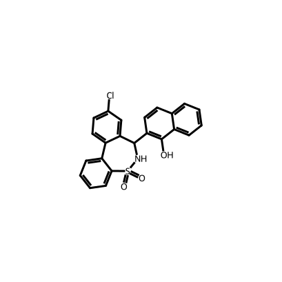 O=S1(=O)NC(c2ccc3ccccc3c2O)c2cc(Cl)ccc2-c2ccccc21